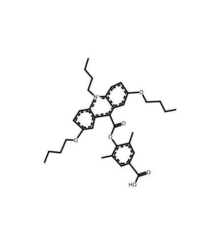 CCCCOc1ccc2c(c1)c(C(=O)Oc1c(C)cc(C(=O)O)cc1C)c1cc(OCCCC)ccc1[n+]2CCCC